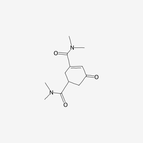 CN(C)C(=O)C1=CC(=O)CC(C(=O)N(C)C)C1